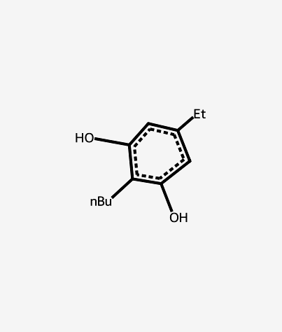 CCCCc1c(O)cc(CC)cc1O